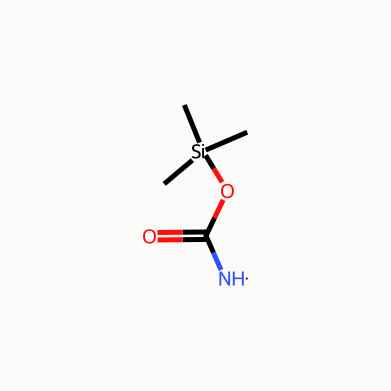 C[Si](C)(C)OC([NH])=O